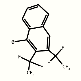 [B]c1c(C(F)(F)C(F)(F)F)c(C(F)(F)C(F)(F)F)cc2ccccc12